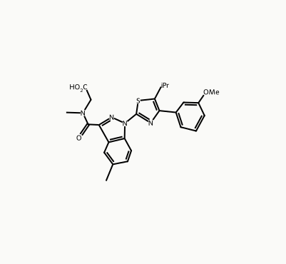 COc1cccc(-c2nc(-n3nc(C(=O)N(C)CC(=O)O)c4cc(C)ccc43)sc2C(C)C)c1